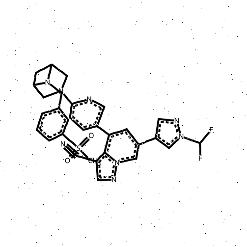 CS(=O)(=O)c1cccc(CN2C3CC2CN(c2ccc(-c4cc(-c5cnn(C(F)F)c5)cn5ncc(C#N)c45)cn2)C3)c1